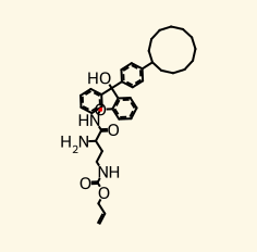 C=CCOC(=O)NCCC(N)C(=O)NOc1ccccc1C(O)(c1ccccc1)c1ccc(C2CCCCCCCCCCC2)cc1